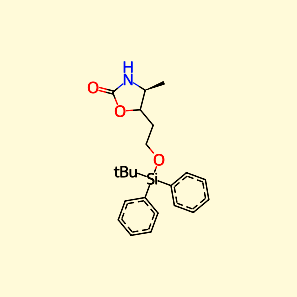 C[C@@H]1NC(=O)OC1CCO[Si](c1ccccc1)(c1ccccc1)C(C)(C)C